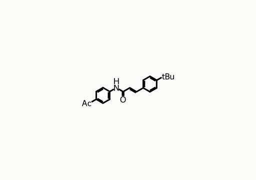 CC(=O)c1ccc(NC(=O)/C=C/c2ccc(C(C)(C)C)cc2)cc1